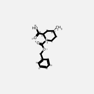 C[C@@H]1CCN(C(=O)OCc2ccccc2)C(C(=O)O)C1